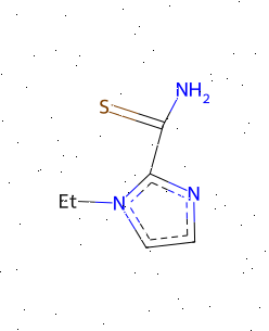 CCn1ccnc1C(N)=S